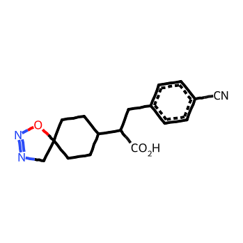 N#Cc1ccc(CC(C(=O)O)C2CCC3(CC2)CN=NO3)cc1